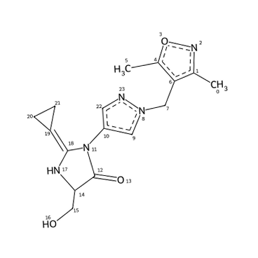 Cc1noc(C)c1Cn1cc(N2C(=O)C(CO)NC2=C2CC2)cn1